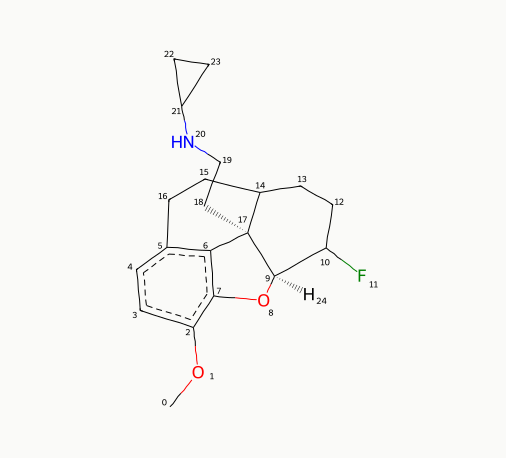 COc1ccc2c3c1O[C@@H]1C(F)CCC(CC2)[C@]31CCNC1CC1